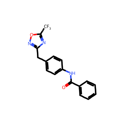 O=C(Nc1ccc(Cc2noc(C(F)(F)F)n2)cc1)c1ccccc1